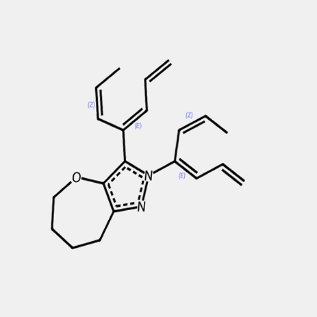 C=C/C=C(\C=C/C)c1c2c(nn1C(/C=C\C)=C/C=C)CCCCO2